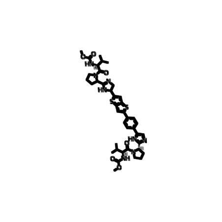 COC(=O)N[C@H](C(=O)N1CCCC1C1=NCC(c2cc3sc(-c4ccc(-c5cnc([C@@H]6CCCN6C(=O)[C@@H](NC(=O)OC)C(C)C)[nH]5)cc4)cc3s2)N1)C(C)C